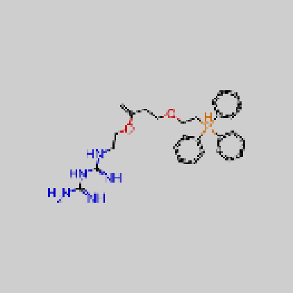 C=C(CCOCC[PH](c1ccccc1)(c1ccccc1)c1ccccc1)OCCNC(=N)NC(=N)N